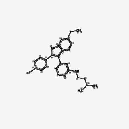 CCc1ccn2c(-c3ccnc(NCCC(C)C)n3)c(-c3ccc(F)cc3)nc2c1